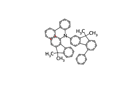 CC1(C)c2cc(N(c3ccccc3-c3ccccc3)c3cccc4c3-c3ccccc3C4(C)C)ccc2-c2c(-c3ccccc3)cccc21